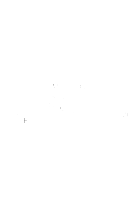 CC1(S(=O)(=O)c2cccc(C(F)(F)F)c2)CCOC(c2ccc(Br)cc2)C1